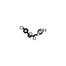 O=C(CCN1CCNCC1)c1ccc(-c2ccc(Cl)cc2)o1